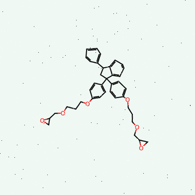 c1ccc(C2CC(c3ccc(OCCCOCC4CO4)cc3)(c3ccc(OCCCOCC4CO4)cc3)c3ccccc32)cc1